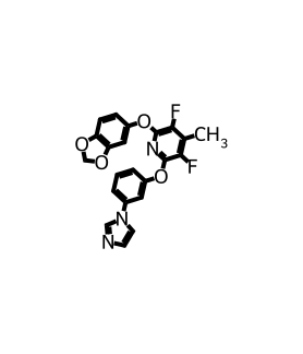 Cc1c(F)c(Oc2cccc(-n3ccnc3)c2)nc(Oc2ccc3c(c2)OCO3)c1F